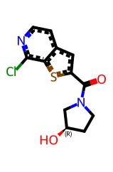 O=C(c1cc2ccnc(Cl)c2s1)N1CC[C@@H](O)C1